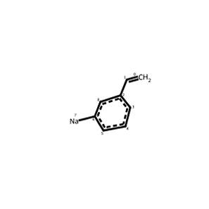 C=Cc1ccc[c]([Na])c1